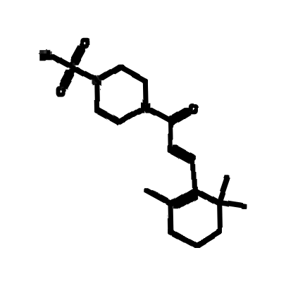 CCS(=O)(=O)N1CCN(C(=O)C=CC2=C(C)CCCC2(C)C)CC1